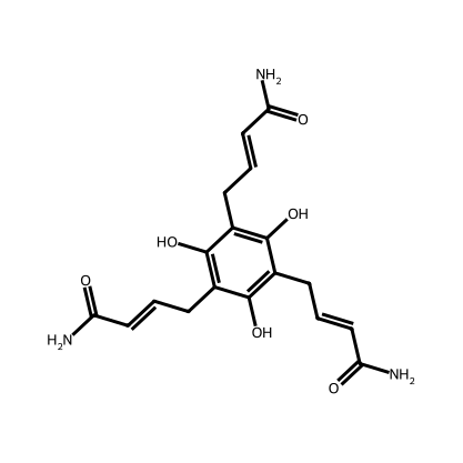 NC(=O)C=CCc1c(O)c(CC=CC(N)=O)c(O)c(CC=CC(N)=O)c1O